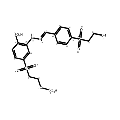 O=S(=O)(O)OCCS(=O)(=O)c1ccc(S(=O)(=O)O)c(NN=Cc2ccc(S(=O)(=O)CCO)cc2)c1